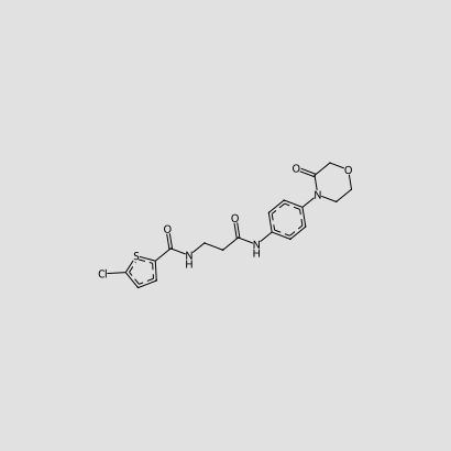 O=C(CCNC(=O)c1ccc(Cl)s1)Nc1ccc(N2CCOCC2=O)cc1